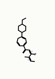 C=C(/C=C(F)\C(C)=C/C)C1=CC=C(C2CCC(CC)CC2)CC=C1